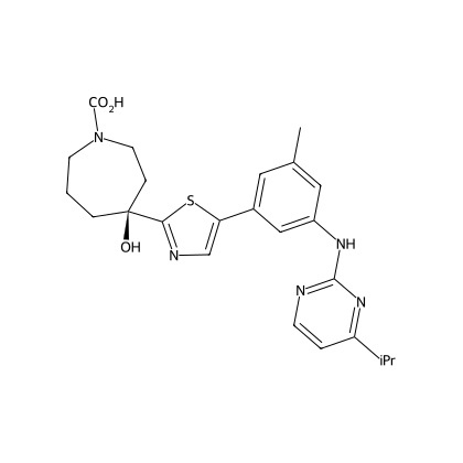 Cc1cc(Nc2nccc(C(C)C)n2)cc(-c2cnc([C@]3(O)CCCN(C(=O)O)CC3)s2)c1